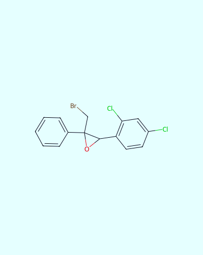 Clc1ccc(C2OC2(CBr)c2ccccc2)c(Cl)c1